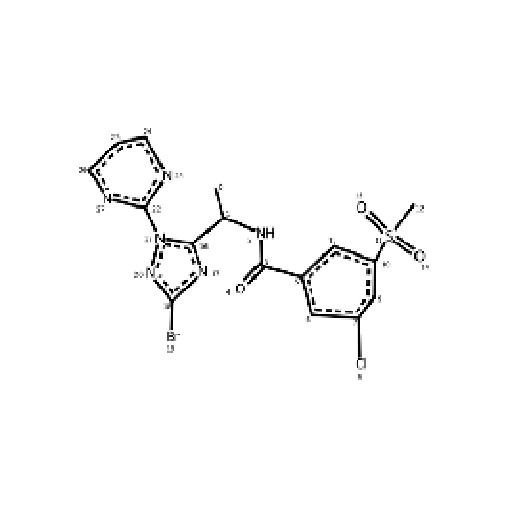 CC(NC(=O)c1cc(Cl)cc(S(C)(=O)=O)c1)c1nc(Br)nn1-c1ncccn1